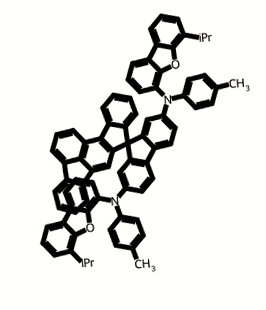 Cc1ccc(N(c2ccc3c(c2)C2(c4cc(N(c5ccc(C)cc5)c5cccc6c5oc5c(C(C)C)cccc56)ccc4-3)c3ccccc3-c3c2cc2c4c(cccc34)-c3ccccc3-2)c2cccc3c2oc2c(C(C)C)cccc23)cc1